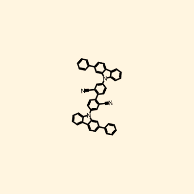 N#Cc1cc(-n2c3ccccc3c3ccc(-c4ccccc4)cc32)ccc1-c1ccc(-n2c3ccccc3c3ccc(-c4ccccc4)cc32)cc1C#N